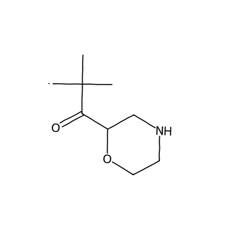 [CH2]C(C)(C)C(=O)C1CNCCO1